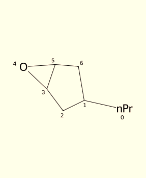 [CH2]CCC1CC2OC2C1